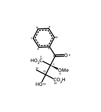 CO[C@@](C(=O)O)(C(=O)c1ccccc1)C(C)(O)C(=O)O